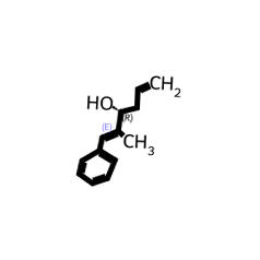 C=CC[C@@H](O)/C(C)=C/c1ccccc1